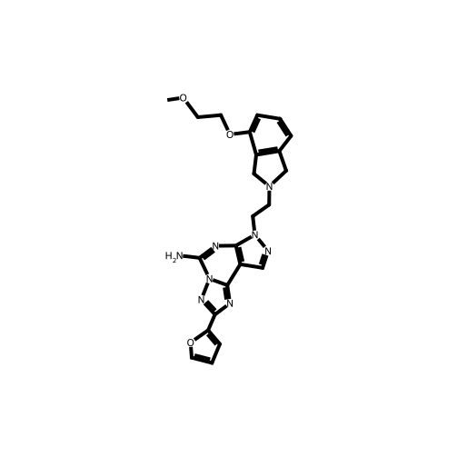 COCCOc1cccc2c1CN(CCn1ncc3c1nc(N)n1nc(-c4ccco4)nc31)C2